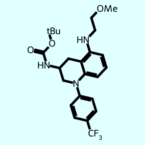 COCCNc1cccc2c1CC(NC(=O)OC(C)(C)C)CN2c1ccc(C(F)(F)F)cc1